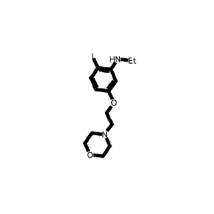 CCNc1cc(OCCN2CCOCC2)ccc1I